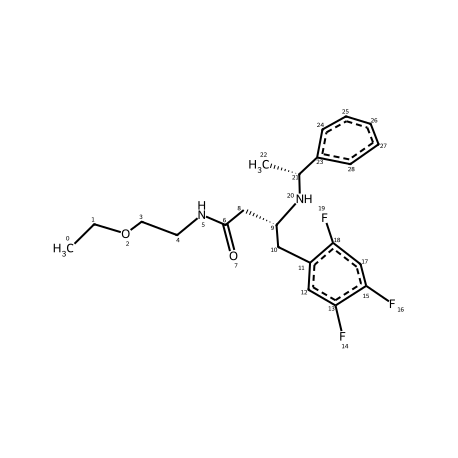 CCOCCNC(=O)C[C@@H](Cc1cc(F)c(F)cc1F)N[C@H](C)c1ccccc1